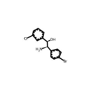 N[C@H](c1ccc(Br)cc1)[C@H](O)c1cccc(Cl)c1